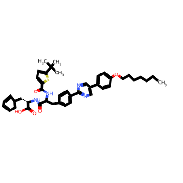 CCCCCCCOc1ccc(-c2cnc(-c3ccc(CC(NC(=O)c4ccc(C(C)(C)C)s4)C(=O)N[C@@H](CC4C=CC=CC4)C(=O)O)cc3)nc2)cc1